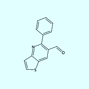 O=Cc1cc2sccc2nc1-c1ccccc1